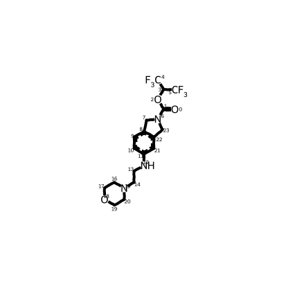 O=C(OC(C(F)(F)F)C(F)(F)F)N1Cc2ccc(NCCN3CCOCC3)cc2C1